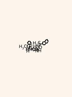 CC(NC(=O)NN1Cc2[nH]nc(NC(=O)C(C)c3ccc4ccccc4c3)c2C1)c1ccccc1